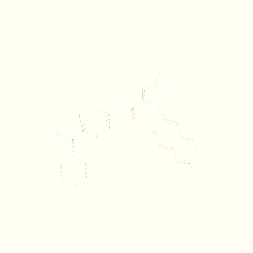 Cc1cc(C(=O)Nc2ccc(C(=N)N3CCCCC3)cc2)n(-c2ccc3cc(Cl)ccc3c2)n1